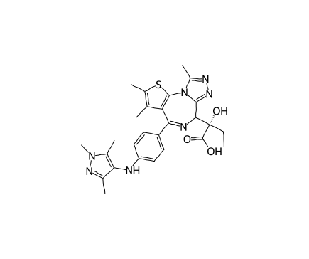 CC[C@@](O)(C(=O)O)C1N=C(c2ccc(Nc3c(C)nn(C)c3C)cc2)c2c(sc(C)c2C)-n2c(C)nnc21